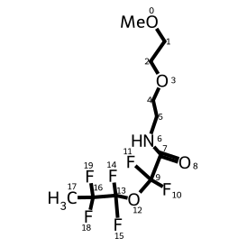 COCCOCCNC(=O)C(F)(F)OC(F)(F)C(C)(F)F